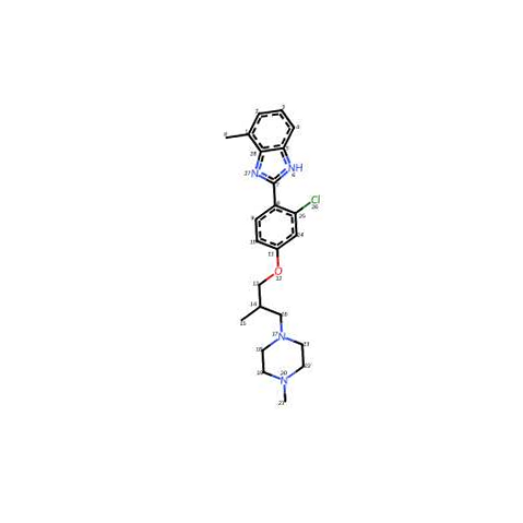 Cc1cccc2[nH]c(-c3ccc(OCC(C)CN4CCN(C)CC4)cc3Cl)nc12